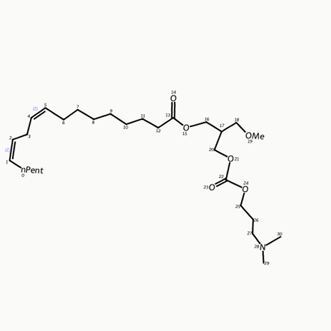 CCCCC/C=C\C/C=C\CCCCCCCC(=O)OCC(COC)COC(=O)OCCCN(C)C